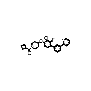 Cl.O=C(C1CCC1)N1CCC(Oc2ccc(-c3cccc(-c4ccccn4)c3)c(F)c2)CC1